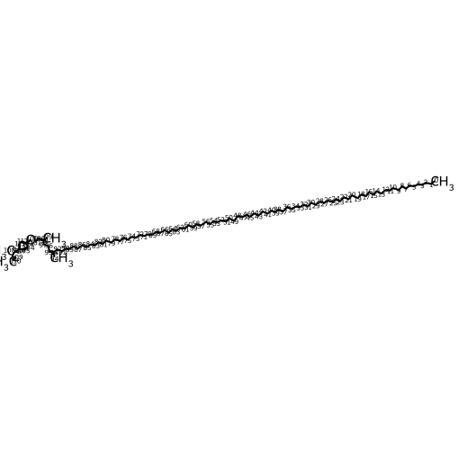 CCCCCCCCCCCCCCCCCCCCCCCCCCCCCCCCCCCCCCCCCCCCCCCCCCCCCCCCCCCCCCCCCCCCCCCCCCCCCCCCCCCCCCCCCCCCCC(C)=CCCC(C)=CCOc1ccc(C(C)CC)cc1